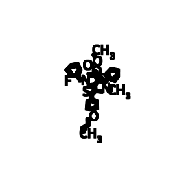 CCCCOc1ccc(-c2sc3c(c2CN(C)Cc2ccccc2)c(=O)c(OC(=O)OCC)cn3Cc2ccccc2F)cc1